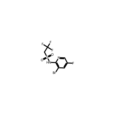 O=S(=O)(CC(F)(F)F)Nc1ncc(F)cc1Br